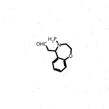 O=CCC1c2ccccc2OCCN1P